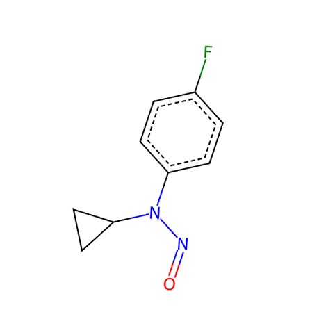 O=NN(c1ccc(F)cc1)C1CC1